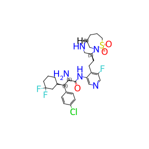 N[C@H](C(=O)Nc1cncc(F)c1CC[C@H]1CN[C@@H]2CCCS(=O)(=O)N1C2)[C@@H](c1ccc(Cl)cc1)C1CCCC(F)(F)C1